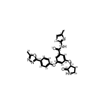 Cc1csc(NC(=O)c2cc(Oc3ccc(-c4nnc(C)o4)cc3)cc(O[C@H]3CCNC3=O)c2)n1